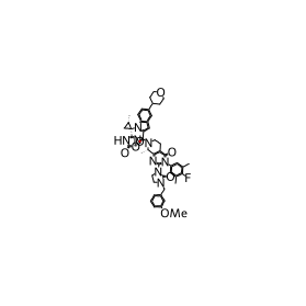 COc1cccc(CN2CCN(c3nc4c(c(=O)n3-c3cc(C)c(F)c(C)c3)CCN(C(=O)c3cc5cc(C6CCOCC6)ccc5n3[C@@]3(c5noc(=O)[nH]5)C[C@@H]3C)[C@H]4C)C2=O)c1